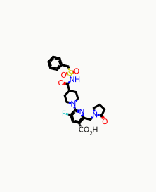 O=C(O)c1cc(F)c(N2CCC(C(=O)NS(=O)(=O)Cc3ccccc3)CC2)nc1CN1CCCC1=O